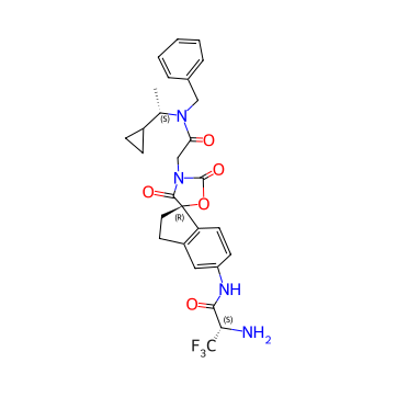 C[C@@H](C1CC1)N(Cc1ccccc1)C(=O)CN1C(=O)O[C@@]2(CCc3cc(NC(=O)[C@H](N)C(F)(F)F)ccc32)C1=O